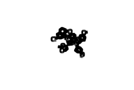 C=CC(OC(C)=O)[C@@H]1CC[C@H]1CN1C[C@@]2(CCCc3cc(Cl)ccc32)COc2ccc(S(=O)(=O)N(Cc3ccc(OC)cc3)Cc3ccc(OC)cc3)cc21